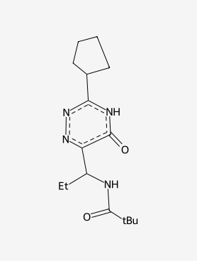 CCC(NC(=O)C(C)(C)C)c1nnc(C2CCCC2)[nH]c1=O